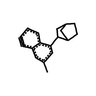 Cc1cc(C2CC3CCC2C3)c2ccc#cc2c1